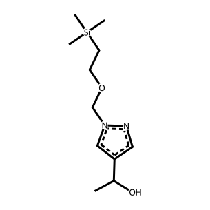 CC(O)c1cnn(COCC[Si](C)(C)C)c1